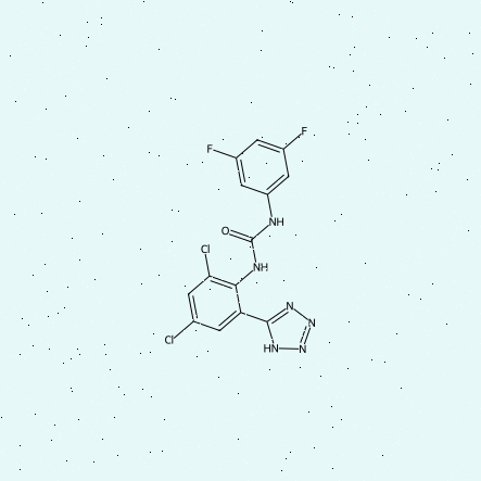 O=C(Nc1cc(F)cc(F)c1)Nc1c(Cl)cc(Cl)cc1-c1nnn[nH]1